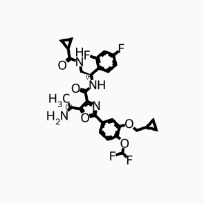 C[C@H](N)c1oc(-c2ccc(OC(F)F)c(OCC3CC3)c2)nc1C(=O)N[C@@H](CNC(=O)C1CC1)c1ccc(F)cc1F